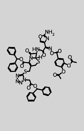 CC(=O)Oc1ccc(C(=O)O/N=C(\C(=O)N[C@@H]2C(=O)N3C(C(=O)OC(c4ccccc4)c4ccccc4)=C(CSc4nnnn4CC(=O)OC(c4ccccc4)c4ccccc4)CS[C@@H]23)c2coc(N)n2)cc1OC(C)=O